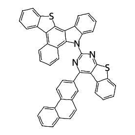 c1ccc2c(c1)ccc1cc(-c3nc(-n4c5ccccc5c5c6sc7ccccc7c6c6ccccc6c54)nc4sc5ccccc5c34)ccc12